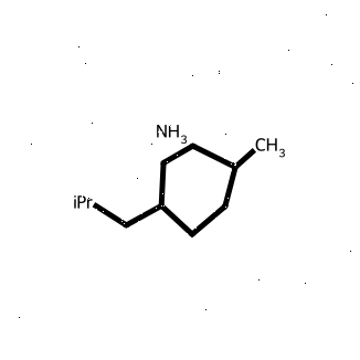 CC(C)CC1CCC(C)CC1.N